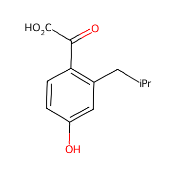 CC(C)Cc1cc(O)ccc1C(=O)C(=O)O